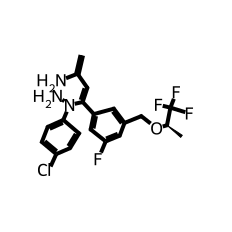 C=C(N)/C=C(/c1cc(F)cc(CO[C@H](C)C(F)(F)F)c1)N(N)c1ccc(Cl)cc1